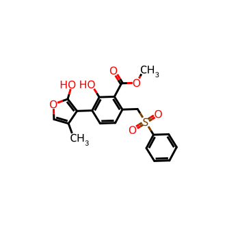 COC(=O)c1c(CS(=O)(=O)c2ccccc2)ccc(-c2c(C)coc2O)c1O